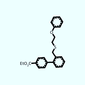 CCOC(=O)c1ccc(-c2ccccc2CSCCOc2ccccc2)cc1